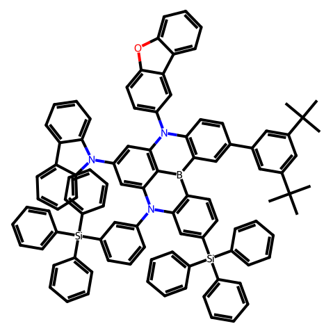 CC(C)(C)c1cc(-c2ccc3c(c2)B2c4ccc([Si](c5ccccc5)(c5ccccc5)c5ccccc5)cc4N(c4cccc([Si](c5ccccc5)(c5ccccc5)c5ccccc5)c4)c4cc(-n5c6ccccc6c6ccccc65)cc(c42)N3c2ccc3oc4ccccc4c3c2)cc(C(C)(C)C)c1